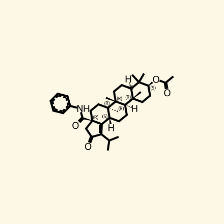 CC(=O)O[C@H]1CC[C@]2(C)[C@H]3CC[C@@H]4C5=C(C(C)C)C(=O)C[C@]5(C(=O)Nc5ccccc5)CC[C@@]4(C)[C@]3(C)CC[C@H]2C1(C)C